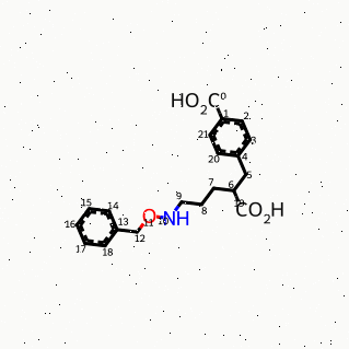 O=C(O)c1ccc(CC(CCCNOCc2ccccc2)C(=O)O)cc1